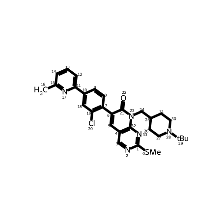 CSc1ncc2cc(-c3ccc(-c4cccc(C)n4)cc3Cl)c(=O)n(CC3CCN(C(C)(C)C)CC3)c2n1